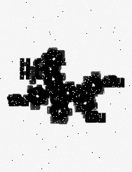 CC(C)(C)c1ccc(Nc2cc3c(cc2-c2cc4c(c5cc(C(C)(C)C)cc6c7cc(C(C)(C)C)ccc7n4c65)c4c2oc2ccccc24)-c2ccccc2C3(C)C)cc1